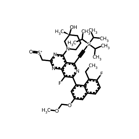 CCc1c(F)ccc2cc(OCOC)cc(-c3nc(C#C[Si](C(C)C)(C(C)C)C(C)C)c4c(N5CCC[C@@](C)(O)C5)nc(C[S+]=O)nc4c3F)c12